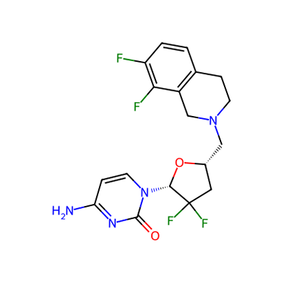 Nc1ccn([C@@H]2O[C@H](CN3CCc4ccc(F)c(F)c4C3)CC2(F)F)c(=O)n1